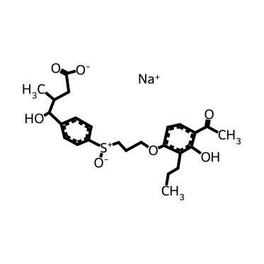 CCCc1c(OCCC[S+]([O-])c2ccc(C(O)C(C)CC(=O)[O-])cc2)ccc(C(C)=O)c1O.[Na+]